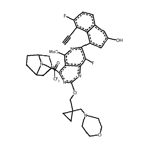 C#Cc1c(F)ccc2cc(O)cc(-c3nc(OC)c4c(N5CC6CCC(C5)N6C(=O)C(F)(F)F)nc(OCC5(CN6CCOCC6)CC5)nc4c3F)c12